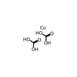 O=C(O)O.O=C(O)O.[Cu]